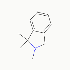 CN1Cc2cc[c]cc2C1(C)C